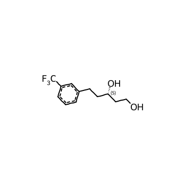 OCC[C@@H](O)CCc1cccc(C(F)(F)F)c1